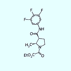 CCOC(=O)C(=O)N1CC[C@H](C(=O)Nc2cc(F)c(F)c(F)c2)[C@@H]1C